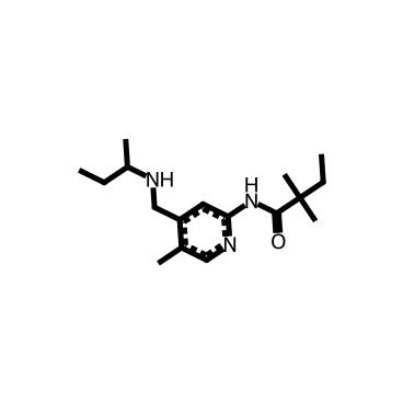 CCC(C)NCc1cc(NC(=O)C(C)(C)CC)ncc1C